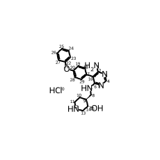 Cl.Nc1ncnc(NC[C@@H]2CCNC[C@H]2O)c1-c1ccc(Oc2ccccc2)cc1